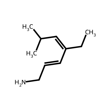 CCC(C=CCN)=CC(C)C